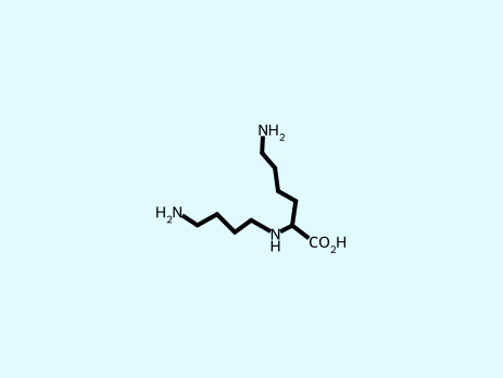 NCCCCNC(CCCCN)C(=O)O